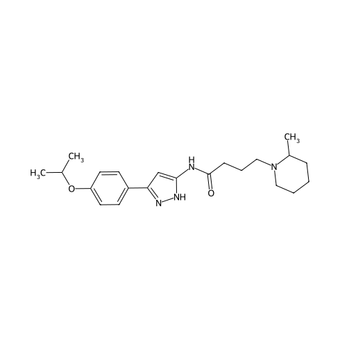 CC(C)Oc1ccc(-c2cc(NC(=O)CCCN3CCCCC3C)[nH]n2)cc1